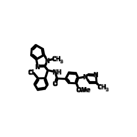 COc1cc(C(=O)NC(c2ccccc2Cl)c2nc3ccccc3n2C)ccc1-n1cnc(C)c1